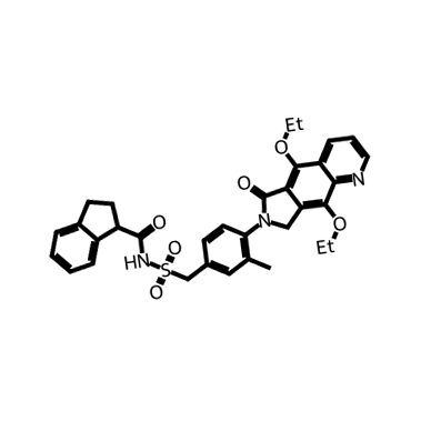 CCOc1c2c(c(OCC)c3ncccc13)CN(c1ccc(CS(=O)(=O)NC(=O)C3CCc4ccccc43)cc1C)C2=O